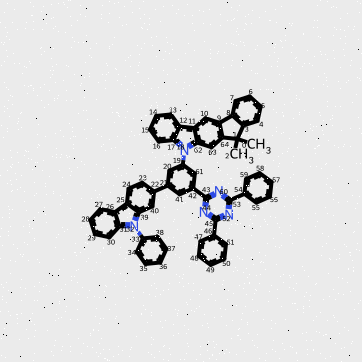 CC1(C)c2ccccc2-c2cc3c4ccccc4n(-c4cc(-c5ccc6c7ccccc7n(-c7ccccc7)c6c5)cc(-c5nc(-c6ccccc6)nc(-c6ccccc6)n5)c4)c3cc21